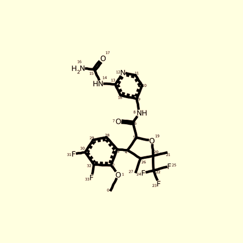 COc1c(C2C(C(=O)Nc3ccnc(NC(N)=O)c3)OC(C)(C(F)(F)F)C2C)ccc(F)c1F